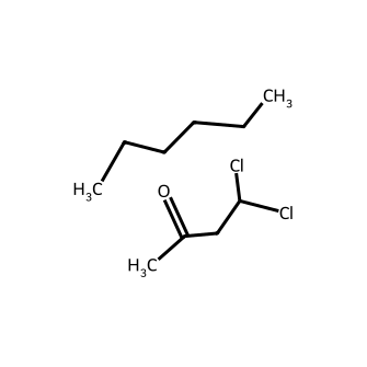 CC(=O)CC(Cl)Cl.CCCCCC